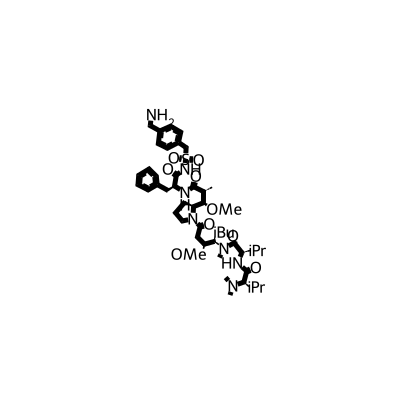 CC[C@H](C)[C@@H]([C@@H](CC(=O)N1CCC[C@H]1[C@H](OC)[C@@H](C)C(=O)N[C@@H](Cc1ccccc1)C(=O)NS(=O)(=O)Cc1ccc(CN)cc1)OC)N(C)C(=O)[C@@H](NC(=O)[C@H](C(C)C)N(C)C)C(C)C